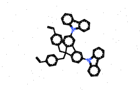 C=Cc1ccc(CC2(Cc3ccc(C=C)cc3)c3ccc(-n4c5ccccc5c5ccccc54)cc3-c3cc(-n4c5ccccc5c5ccccc54)ccc32)cc1